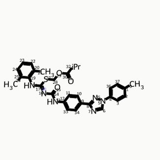 Cc1ccc(-n2cnc(-c3ccc(NC(=O)/N=C(/Nc4c(C)cccc4C)SCOC(=O)C(C)C)cc3)n2)cc1